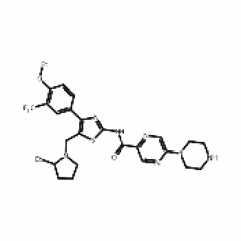 CCOc1ccc(-c2nc(NC(=O)c3cnc(N4CCNCC4)cn3)sc2CN2CCCC2CC)cc1C(F)(F)F